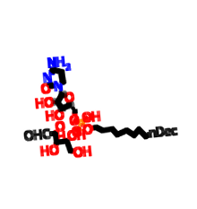 CCCCCCCCCCCCCCCCCCOP(=O)(O)OC[C@H]1O[C@@H](n2ccc(N)nc2=O)[C@H](O)[C@@H]1O.O=CC(O)C(O)C(O)CO